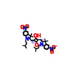 CC(C)CCN1/C(=C\C2=C(O)C(=C\C3=[N+](CCC(C)C)c4ccc([N+](=O)[O-])cc4C3(C)C)/C2=O)C(C)(C)c2cc([N+](=O)[O-])ccc21